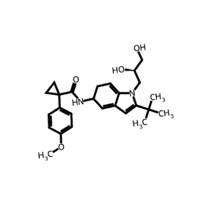 COc1ccc(C2(C(=O)NC3C=c4cc(C(C)(C)C)n(C[C@@H](O)CO)c4=CC3)CC2)cc1